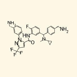 CN(C1CC1)C(c1ccc(CN)cc1)c1ccc(F)c(NC(=O)c2cc(C(F)(F)F)nn2-c2cccc(CN)c2)c1